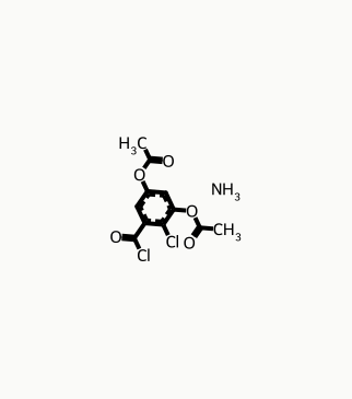 CC(=O)Oc1cc(OC(C)=O)c(Cl)c(C(=O)Cl)c1.N